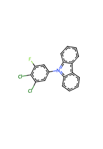 Fc1cc(-n2c3ccccc3c3ccccc32)cc(Cl)c1Cl